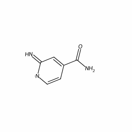 N=C1C=C(C(N)=O)C=C[N]1